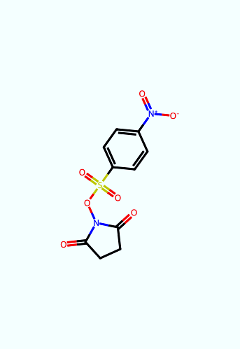 O=C1CCC(=O)N1OS(=O)(=O)c1ccc([N+](=O)[O-])cc1